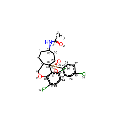 CC(=O)N[C@@H]1CCC2COc3c(F)ccc(F)c3[C@@]2(S(=O)(=O)c2ccc(Cl)cc2)CC1